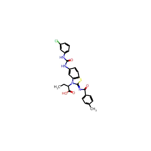 CCC(C(=O)O)n1c(=NC(=O)c2ccc(C)cc2)sc2ccc(NC(=O)Nc3cccc(Cl)c3)cc21